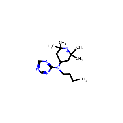 CCCCN(c1ncncn1)C1CC(C)(C)NC(C)(C)C1